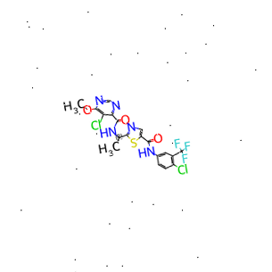 COc1ncnc(C(=O)N[C@H](C)c2ncc(C(=O)Nc3ccc(Cl)c(C(F)(F)F)c3)s2)c1Cl